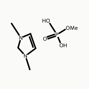 CN1C=CN(C)C1.COP(=O)(O)O